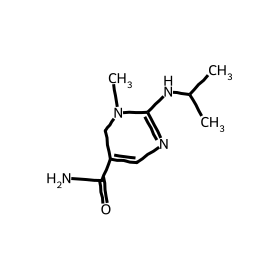 CC(C)NC1=NC=C(C(N)=O)CN1C